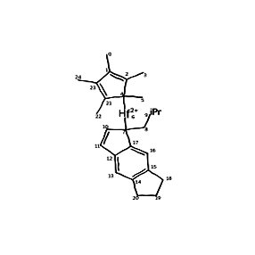 CC1=C(C)[C](C)([Hf+2][C]2(CC(C)C)C=Cc3cc4c(cc32)CCC4)C(C)=C1C